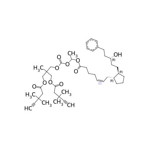 C#CC(C)(C)CC(=O)OCC(C)(COC(=O)CC(C)(C)C#C)COC(=O)OC(C)OC(=O)CCC/C=C\C[C@H]1CCC[C@@H]1CC[C@@H](O)CCc1ccccc1